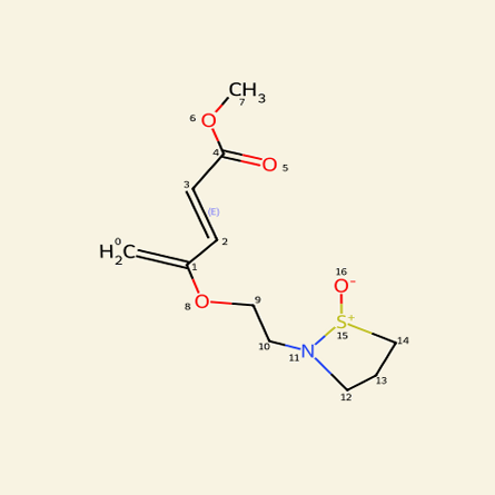 C=C(/C=C/C(=O)OC)OCCN1CCC[S+]1[O-]